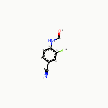 N#Cc1ccc(NC=O)c(F)c1